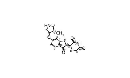 C[C@H]1CNC[C@H]1Oc1ccc2c(c1)CN(C1CCC(=O)NC1=O)C2=O